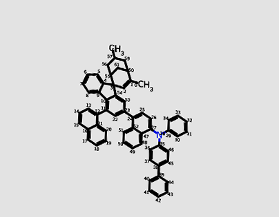 CC1=CC2(c3ccccc3-c3c(-c4cccc5ccccc45)cc(-c4ccc(N(c5ccccc5)c5ccc(-c6ccccc6)cc5)c5ccccc45)cc32)C2CC(C)CC1C2